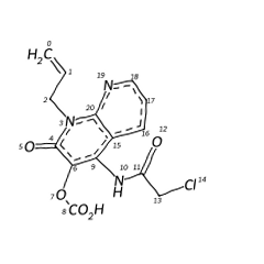 C=CCn1c(=O)c(OC(=O)O)c(NC(=O)CCl)c2cccnc21